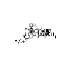 CC1C(=O)N(c2ccc(SC(F)(F)F)cc2)C(=O)N1Cc1ccnc(NS(C)(=O)=O)c1